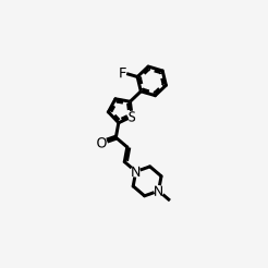 CN1CCN(C=CC(=O)c2ccc(-c3ccccc3F)s2)CC1